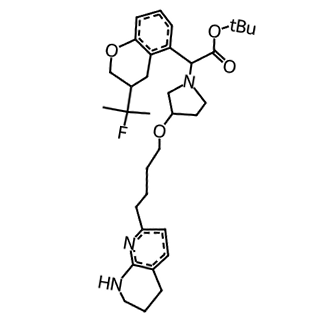 CC(C)(C)OC(=O)C(c1cccc2c1CC(C(C)(C)F)CO2)N1CCC(OCCCCc2ccc3c(n2)NCCC3)C1